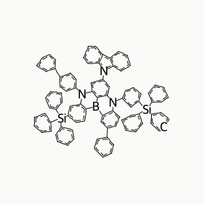 c1ccc(-c2ccc(N3c4cc([Si](c5ccccc5)(c5ccccc5)c5ccccc5)ccc4B4c5cc(-c6ccccc6)ccc5N(c5cccc([Si](c6ccccc6)(c6ccccc6)c6ccccc6)c5)c5cc(-n6c7ccccc7c7ccccc76)cc3c54)cc2)cc1